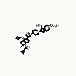 C[C@H]1CCc2c(ccc(-c3cnn(C4CCN(C5CC6(CCN(C(=O)O)CC6)C5C(C)(C)C)CC4)c3)c2OC2CCC2)N1C(=O)C1CC1